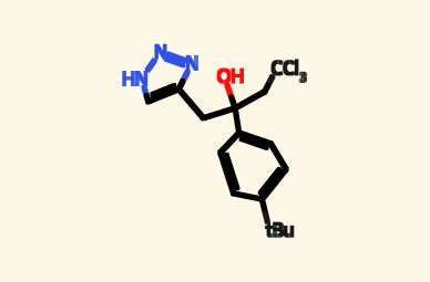 CC(C)(C)c1ccc(C(O)(Cc2c[nH]nn2)CC(Cl)(Cl)Cl)cc1